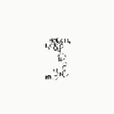 CC(C)(C)OC(=O)N1CCC[C@H]1COc1ccc(B2OC(C)(C)C(C)(C)O2)cn1